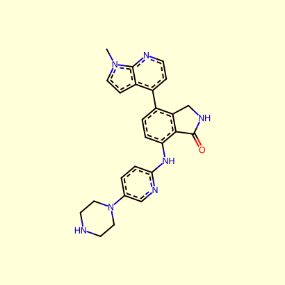 Cn1ccc2c(-c3ccc(Nc4ccc(N5CCNCC5)cn4)c4c3CNC4=O)ccnc21